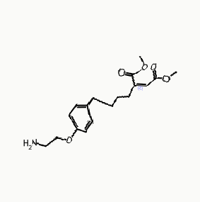 COC(=O)/C=C(/CCCCc1ccc(OCCN)cc1)C(=O)OC